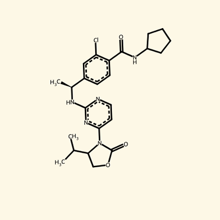 CC(C)C1COC(=O)N1c1ccnc(N[C@@H](C)c2ccc(C(=O)NC3CCCC3)c(Cl)c2)n1